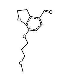 COCCCOc1c[c]c(C=O)c2c1OCC2